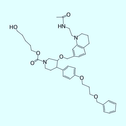 CC(=O)NCCN1CCCc2ccc(COC3CN(C(=O)OCCCCCO)CCC3c3ccc(OCCCOCc4ccccc4)cc3)cc21